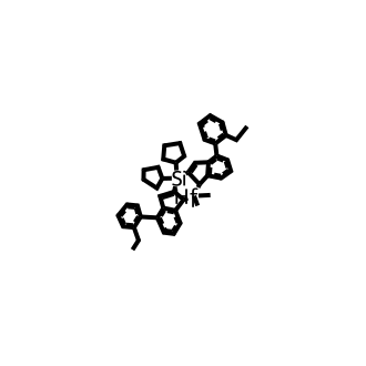 CCc1ccccc1-c1cccc2c1C=C1[CH]2[Hf]([CH3])([CH3])[CH]2C(=Cc3c(-c4ccccc4CC)cccc32)[Si]1(C1CCCC1)C1CCCC1